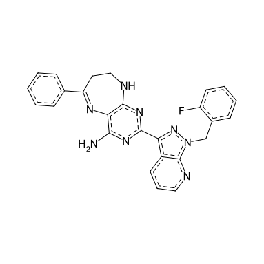 Nc1nc(-c2nn(Cc3ccccc3F)c3ncccc23)nc2c1N=C(c1ccccc1)CCN2